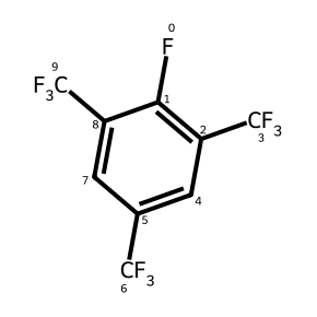 Fc1c(C(F)(F)F)cc(C(F)(F)F)cc1C(F)(F)F